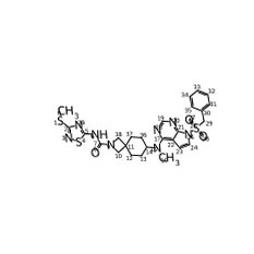 CSc1nsc(NC(=O)N2CC3(CCC(N(C)c4ncnc5c4ccn5S(=O)(=O)Cc4ccccc4)CC3)C2)n1